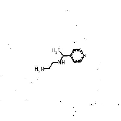 CC(NCCN)c1ccncc1